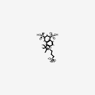 CC1=[N+](CCCS(=O)(=O)O)c2ccc3c(c2C1(C)C)CC(S(=O)(=O)O)CC3S(=O)(=O)O